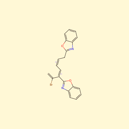 C=C(Br)/C(=C\C=C/Cc1nc2ccccc2o1)c1nc2ccccc2o1